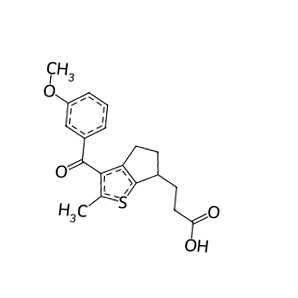 COc1cccc(C(=O)c2c(C)sc3c2CCC3CCC(=O)O)c1